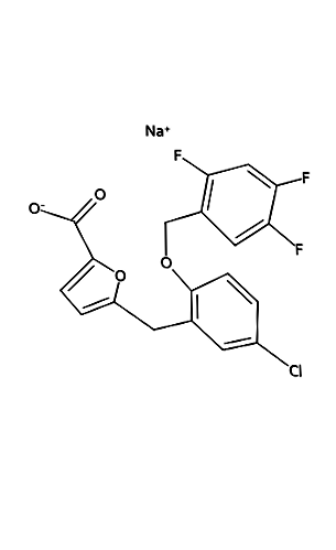 O=C([O-])c1ccc(Cc2cc(Cl)ccc2OCc2cc(F)c(F)cc2F)o1.[Na+]